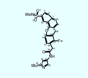 CNS(=O)(=O)c1ccc2nccc(Oc3ccc(CC(=O)Nc4cnn(C(C)(C)C)c4)c(F)c3C)c2c1